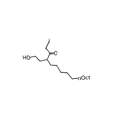 CCCCCCCCCCCCCC(CCO)C(=O)CI